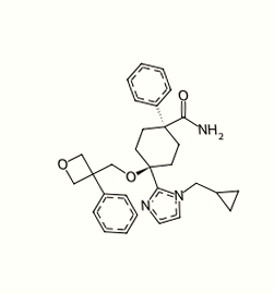 NC(=O)[C@]1(c2ccccc2)CC[C@@](OCC2(c3ccccc3)COC2)(c2nccn2CC2CC2)CC1